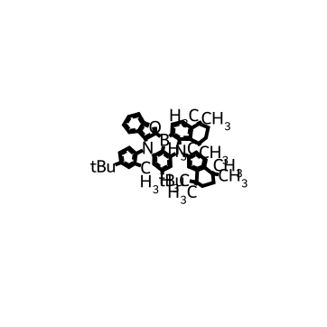 Cc1cc(C(C)(C)C)ccc1N1c2cc(C(C)(C)C)cc3c2B(c2ccc4c(c2N3c2ccc3c(c2)C(C)(C)CCC3(C)C)C(C)(C)CCC4(C)C)c2oc3ccccc3c21